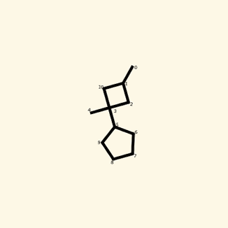 CC1CC(C)(C2CCCC2)C1